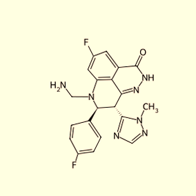 Cn1ncnc1[C@H]1c2n[nH]c(=O)c3cc(F)cc(c23)N(CN)[C@@H]1c1ccc(F)cc1